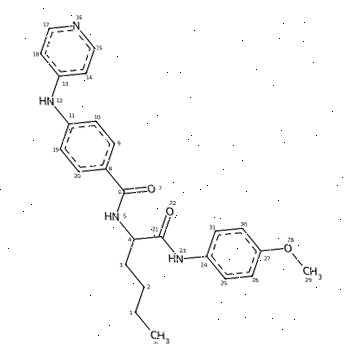 CCCCC(NC(=O)c1ccc(Nc2ccncc2)cc1)C(=O)Nc1ccc(OC)cc1